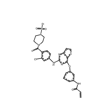 C=CC(=O)Nc1cccc(Oc2nc(Nc3ccc(C(=O)N4CCN(S(=O)(=O)CC)CC4)c(Cl)c3)nc3ccsc23)c1